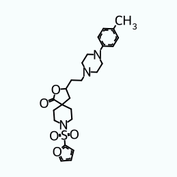 Cc1ccc(N2CCN(CCC3CC4(CCN(S(=O)(=O)c5ccco5)CC4)C(=O)O3)CC2)cc1